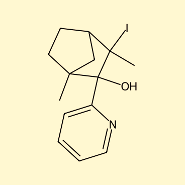 CC12CCC(C1)C(C)(I)C2(O)c1ccccn1